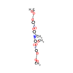 C=CC(=O)OCCCCOc1ccc(/C=C/C(=O)Oc2ccc(/C(CC)=N/N=C/c3ccc(OC(=O)/C=C/c4ccc(OCCCCOC(=O)C=C)cc4)c(OC)c3)cc2)cc1